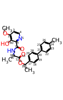 COc1ccnc(C(=O)N[C@@H](C)C(=O)O[C@@H](C)c2ccc(-c3ccc(C)cc3)cc2)c1O